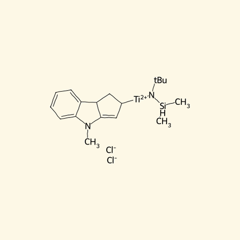 CN1C2=C[CH]([Ti+2][N]([SiH](C)C)C(C)(C)C)CC2c2ccccc21.[Cl-].[Cl-]